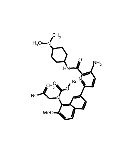 C=C(C#N)CN(C(=O)OC(C)(C)C)c1c(OC)ccc2ccc(-c3ccc(N)c(C(=O)NC4CCC(N(C)C)CC4)n3)cc12